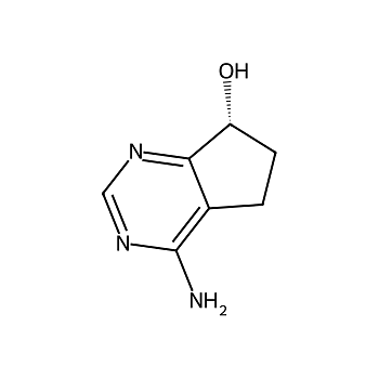 Nc1ncnc2c1CC[C@H]2O